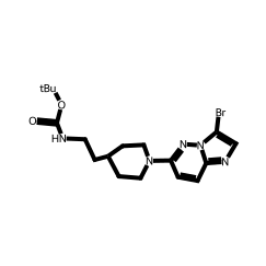 CC(C)(C)OC(=O)NCCC1CCN(c2ccc3ncc(Br)n3n2)CC1